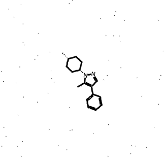 Cc1c(-c2ccccc2)cnn1[C@H]1CC[C@@H](C)CC1